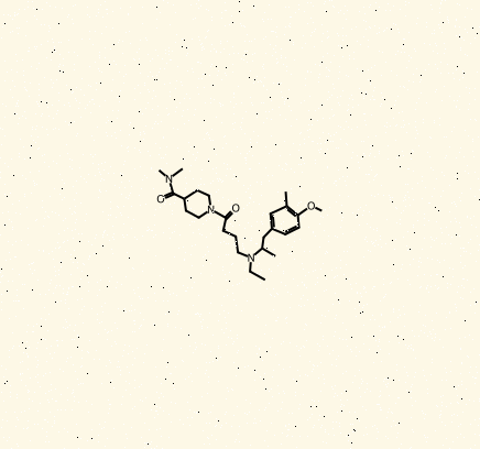 CCN(CCCC(=O)N1CCC(C(=O)N(C)C)CC1)C(C)Cc1ccc(OC)c(C)c1